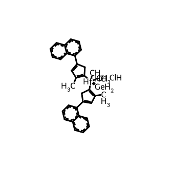 CC1=[C]([Hf]([CH3])([CH3])(=[GeH2])[C]2=C(C)C=C(c3cccc4ccccc34)C2)CC(c2cccc3ccccc23)=C1.Cl.Cl